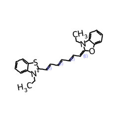 CCN1\C(=C/C=C/C=C/C=C/c2sc3ccccc3[n+]2CC)Oc2ccccc21